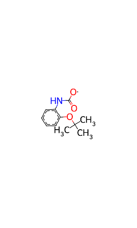 CC(C)(C)Oc1ccccc1NC([O])=O